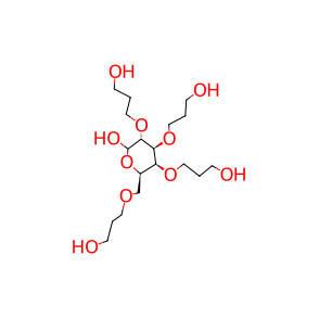 OCCCOC[C@H]1OC(O)[C@H](OCCCO)[C@@H](OCCCO)[C@H]1OCCCO